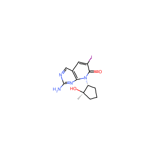 C[C@@]1(O)CCC[C@H]1n1c(=O)c(I)cc2cnc(N)nc21